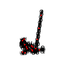 COCCOCCOCCOCCOCCOCCOCCOCCOCCOCCOCCOCC(=O)NCCCC[C@H](N)C(=O)N(C(=O)CCCCCN1C(=O)C=CC1=O)[C@@H](C)C(=O)N[C@H](C(=O)N[C@@H](C)C(=O)Nc1ccc(COC(=O)NCCOC23CC4(C)CC(C)(CC(Cn5ncc(-c6ccc(N7CCc8cccc(C(=O)Nc9nc%10ccccc%10s9)c8C7)nc6C(=O)O)c5C)(C4)C2)C3)cc1)C(C)C